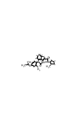 Cc1cc(OC(C)C)ccc1N1C(=O)Nc2c(C(=O)N[C@@H]3CCC[C@@H]3C)sc3nccc1c23